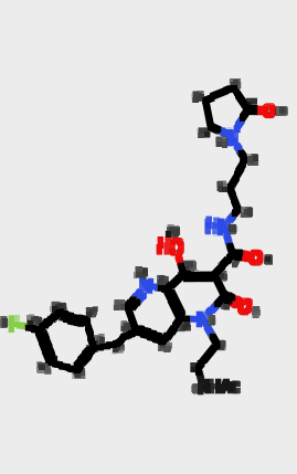 CC(=O)NCCn1c(=O)c(C(=O)NCCCN2CCCC2=O)c(O)c2ncc(Cc3ccc(F)cc3)cc21